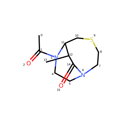 CC(=O)N1CCN2CCSCC1C(C)C2=O